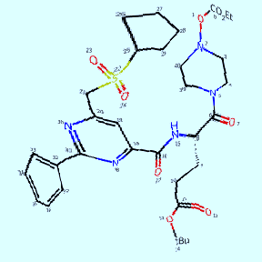 CCOC(=O)ON1CCN(C(=O)[C@H](CCC(=O)OC(C)(C)C)NC(=O)c2cc(CS(=O)(=O)C3CCCC3)nc(-c3ccccc3)n2)CC1